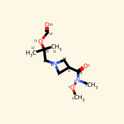 CON(C)C(=O)C1CN(CC(C)(C)O[C]=O)C1